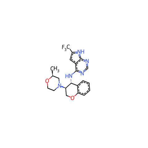 C[C@H]1CN([C@@H]2COc3ccccc3[C@H]2Nc2ncnc3[nH]c(C(F)(F)F)cc23)CCO1